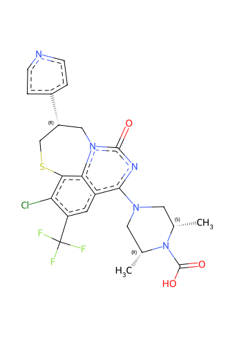 C[C@@H]1CN(c2nc(=O)n3c4c(c(Cl)c(C(F)(F)F)cc24)SC[C@H](c2ccncc2)C3)C[C@H](C)N1C(=O)O